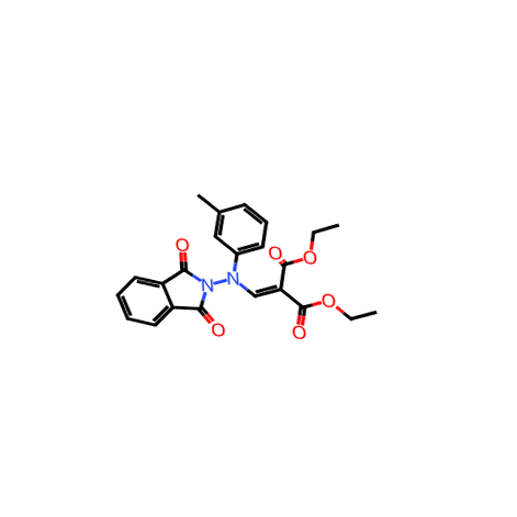 CCOC(=O)C(=CN(c1cccc(C)c1)N1C(=O)c2ccccc2C1=O)C(=O)OCC